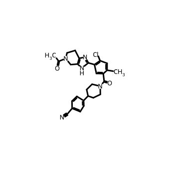 CC(=O)N1CCc2nc(-c3cc(C(=O)N4CCC(c5ccc(C#N)cc5)CC4)c(C)cc3Cl)[nH]c2C1